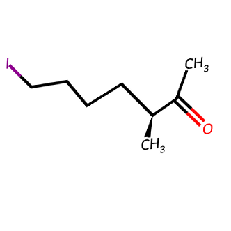 CC(=O)[C@@H](C)CCCCI